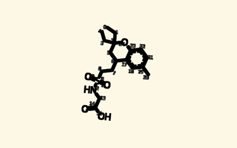 CCC1(CC)CC(CCS(=O)(=O)NCC(=O)O)c2cc(C)ccc2O1